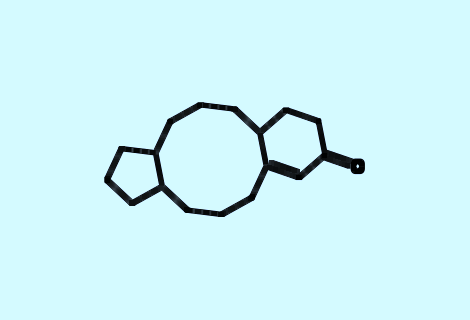 O=C1C=C2CCCC3CCCC3CCCC2CC1